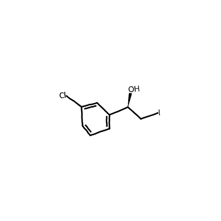 O[C@@H](CI)c1cccc(Cl)c1